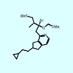 COCO[C@@](Cc1nccc2c1CC(CCC1CC1)C2)(C(C)=O)C(C)CSC